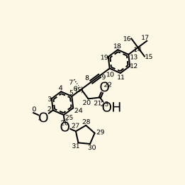 COc1ccc([C@@](C)(C#Cc2ccc(C(C)(C)C)cc2)CC(=O)O)cc1OC1CCCC1